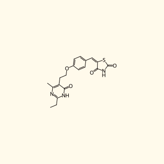 CCc1nc(C)c(CCOc2ccc(C=C3SC(=O)NC3=O)cc2)c(=O)[nH]1